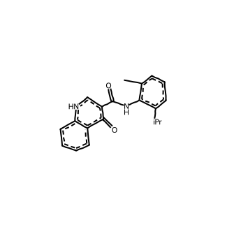 Cc1cccc(C(C)C)c1NC(=O)c1c[nH]c2ccccc2c1=O